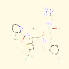 CCC[C@H]1N(C(=O)c2ncccc2C(F)(F)F)CCC[C@@]1(Oc1csc(C(F)(F)F)c1)C(=O)N1CCc2cc(F)ccc2C1CCC(=O)NCC1=NN=N1